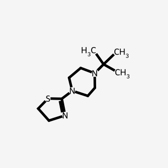 CC(C)(C)N1CCN(C2=NCCS2)CC1